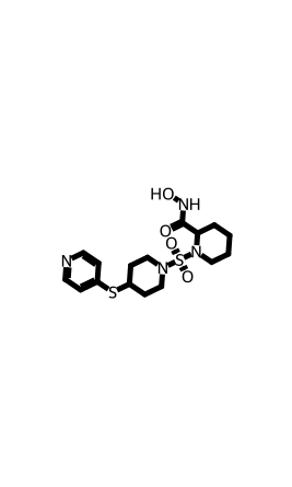 O=C(NO)C1CCCCN1S(=O)(=O)N1CCC(Sc2ccncc2)CC1